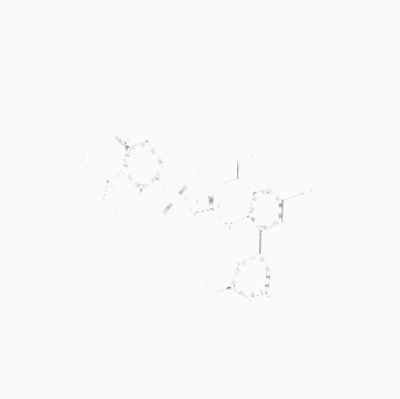 COc1cc(-c2cc(F)cc(C(C)C)c2NC(=O)NS(=O)(=O)c2ccc(=O)n(C(C)C)c2)ccn1